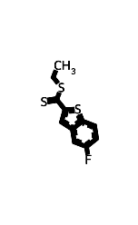 CCSC(=S)c1cc2cc(F)ccc2s1